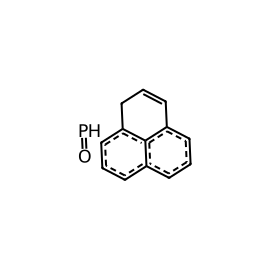 C1=Cc2cccc3cccc(c23)C1.O=P